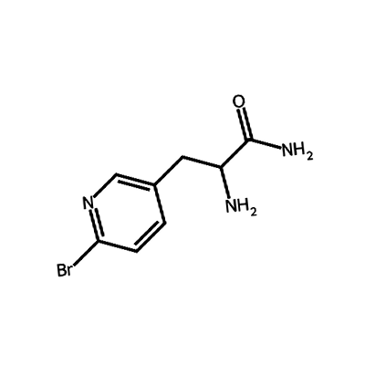 NC(=O)C(N)Cc1ccc(Br)nc1